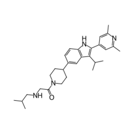 Cc1cc(-c2[nH]c3ccc(C4CCN(C(=O)CNCC(C)C)CC4)cc3c2C(C)C)cc(C)n1